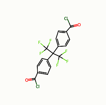 O=C(Cl)c1ccc(C(c2ccc(C(=O)Cl)cc2)(C(F)(F)F)C(F)(F)F)cc1